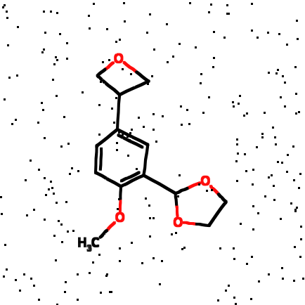 COc1ccc(C2COC2)cc1C1OCCO1